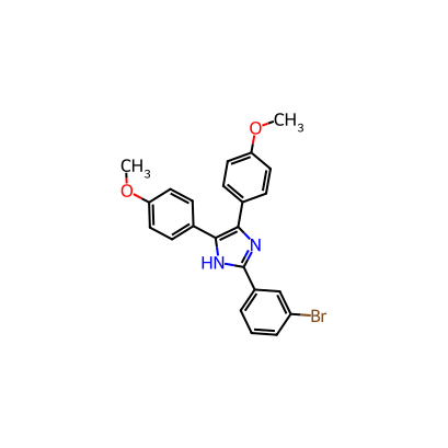 COc1ccc(-c2nc(-c3cccc(Br)c3)[nH]c2-c2ccc(OC)cc2)cc1